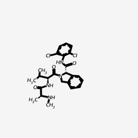 CN[C@@H](C)C(=O)N[C@H](C(=O)N1Cc2ccccc2[C@H]1C(=O)Nc1c(Cl)cccc1Cl)C(C)C